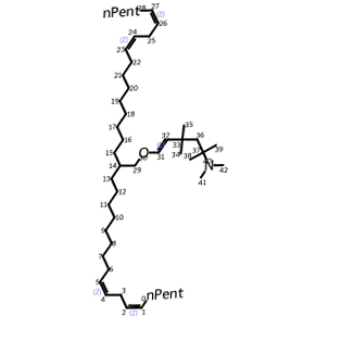 CCCCC/C=C\C/C=C\CCCCCCCCC(CCCCCCCC/C=C\C/C=C\CCCCC)CO/C=C/C(C)(C)CC(C)(C)N(C)C